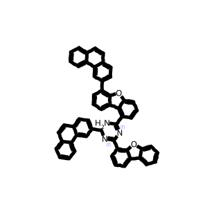 N/C(=N\C(=N/Cc1ccc2ccc3ccccc3c2c1)c1cccc2c1oc1ccccc12)c1cccc2oc3c(-c4ccc5ccc6ccccc6c5c4)cccc3c12